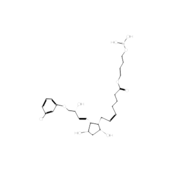 O=C(CCC/C=C\C[C@@H]1[C@@H](/C=C/[C@@H](O)COc2cccc(Cl)c2)[C@H](O)C[C@@H]1O)OCCCCON(O)O